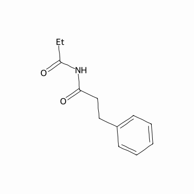 CCC(=O)NC(=O)CCc1ccccc1